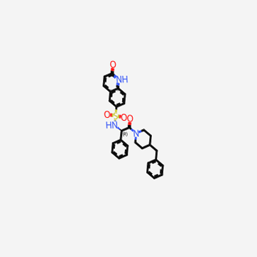 O=C([C@H](NS(=O)(=O)c1ccc2[nH]c(=O)ccc2c1)c1ccccc1)N1CCC(Cc2ccccc2)CC1